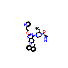 Cc1cccc2cccc(N3CCc4c(nc(OCCc5ccccn5)nc4N4CCN(C(=O)[C@H]5CN5)[C@@H](CC#N)C4)C3)c12